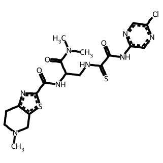 CN1CCc2nc(C(=O)NC(CNC(=S)C(=O)Nc3cnc(Cl)cn3)C(=O)N(C)C)sc2C1